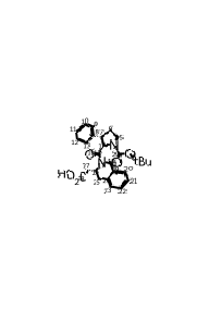 CC(C)(C)OC(=O)N1CC[C@@H](c2ccccc2)[C@@H]1C(=O)N1Cc2ccccc2C[C@@H]1CC(=O)O